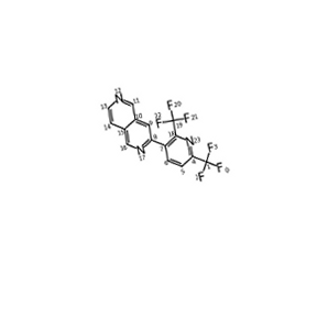 FC(F)(F)c1ccc(-c2cc3cnccc3cn2)c(C(F)(F)F)n1